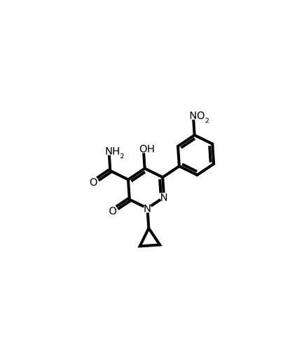 NC(=O)c1c(O)c(-c2cccc([N+](=O)[O-])c2)nn(C2CC2)c1=O